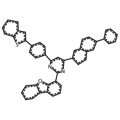 c1ccc(-c2ccc3cc(-c4cc(-c5ccc(-c6cc7ccccc7s6)cc5)nc(-c5cccc6c5oc5ccccc56)n4)ccc3c2)cc1